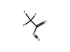 O=NC(=O)C(F)(F)F